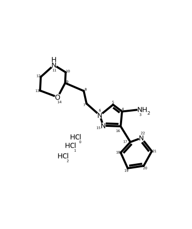 Cl.Cl.Cl.Nc1cn(CCC2CNCCO2)nc1-c1ccccn1